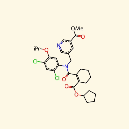 COC(=O)c1cncc(CN(C(=O)C2=C(C(=O)OC3CCCC3)CCCC2)c2cc(OC(C)C)c(Cl)cc2Cl)c1